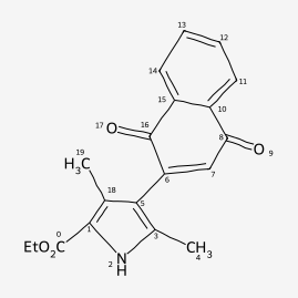 CCOC(=O)c1[nH]c(C)c(C2=CC(=O)c3ccccc3C2=O)c1C